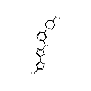 Cc1csc(-c2cnc(Nc3cc(N4CCN(C)CC4)ccn3)s2)c1